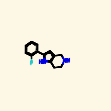 Fc1ccccc1-c1cc2c([nH]1)CCNC2